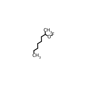 CCCCCCC(C)OF